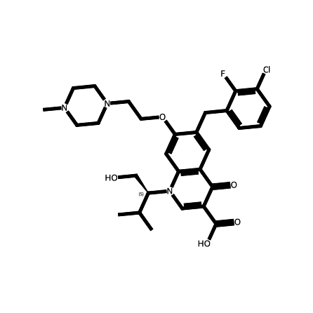 CC(C)[C@@H](CO)n1cc(C(=O)O)c(=O)c2cc(Cc3cccc(Cl)c3F)c(OCCN3CCN(C)CC3)cc21